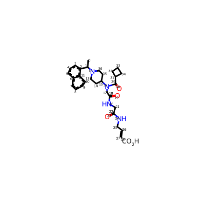 CC(c1cccc2ccccc12)N1CCC(N(CC(=O)NCC(=O)NC/C=C/C(=O)O)C(=O)C2CCC2)CC1